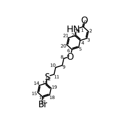 O=c1ccc2cc(OCCCCSc3ccc(Br)cc3)ccc2[nH]1